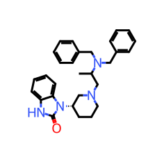 CC(CN1CCC[C@H](n2c(=O)[nH]c3ccccc32)C1)N(Cc1ccccc1)Cc1ccccc1